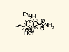 C=CC[C@H]1C[C@@H](NCC)c2cc(S(N)(=O)=O)sc2S1(=O)=O.Cl